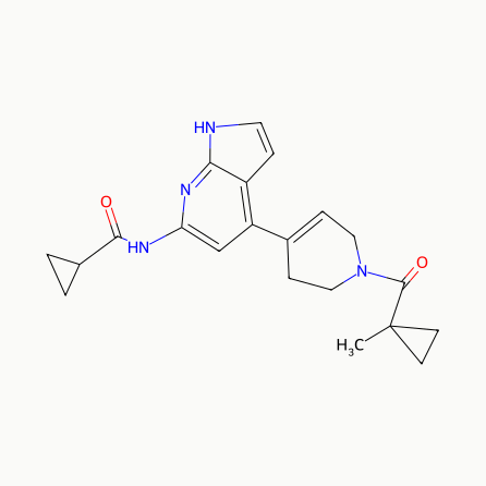 CC1(C(=O)N2CC=C(c3cc(NC(=O)C4CC4)nc4[nH]ccc34)CC2)CC1